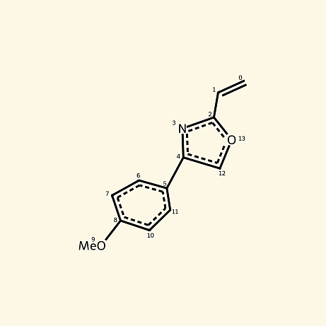 C=Cc1nc(-c2ccc(OC)cc2)co1